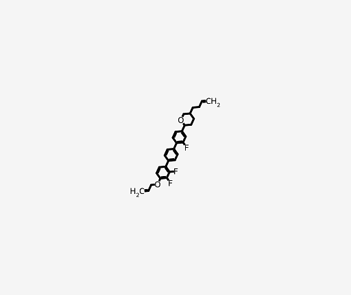 C=CCCC1CCC(c2ccc(-c3ccc(-c4ccc(OCC=C)c(F)c4F)cc3)c(F)c2)OC1